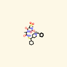 C[C@@H](NC(=O)[C@@H]1CS(=O)(=O)CN1C(=O)OC(C)(C)C)C(=O)NSC(C1CCCCC1)C1CCN(Cc2ccccc2)CC1